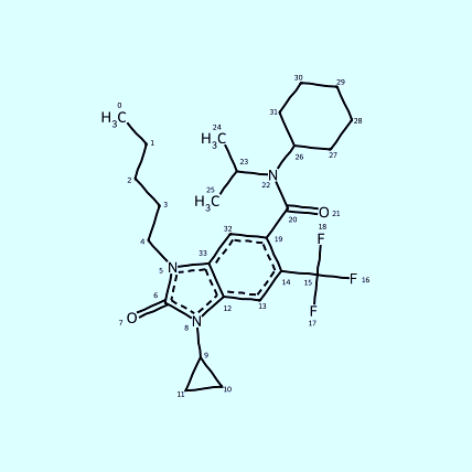 CCCCCn1c(=O)n(C2CC2)c2cc(C(F)(F)F)c(C(=O)N(C(C)C)C3CCCCC3)cc21